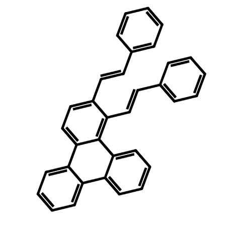 C(=Cc1ccc2c3ccccc3c3ccccc3c2c1C=Cc1ccccc1)c1ccccc1